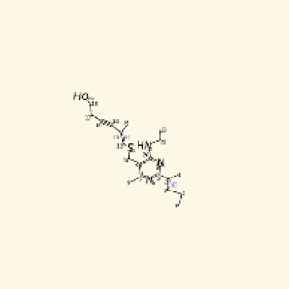 CC/C=C(\C)c1nc(C)c(CS/C=C(\C)C#CCCO)c(NCC)n1